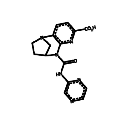 O=C(O)c1ccc2c(n1)N(C(=O)Nc1cnccn1)C1CCN2C1